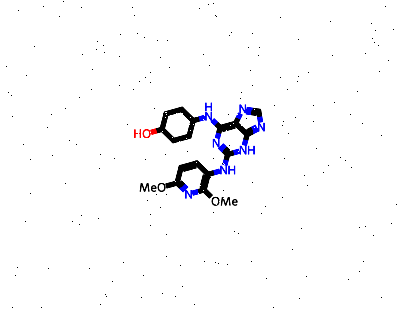 COc1ccc(Nc2nc(NC3CCC(O)CC3)c3ncnc-3[nH]2)c(OC)n1